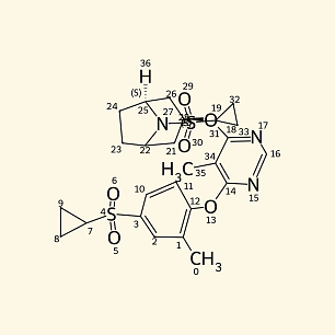 Cc1cc(S(=O)(=O)C2CC2)ccc1Oc1ncnc(O[C@H]2CC3CC[C@@H](C2)N3S(=O)(=O)C2CC2)c1C